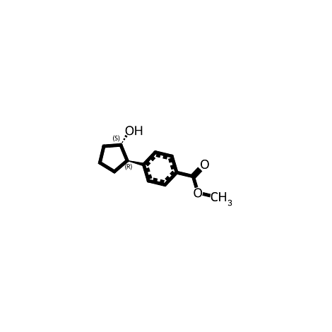 COC(=O)c1ccc([C@H]2CCC[C@@H]2O)cc1